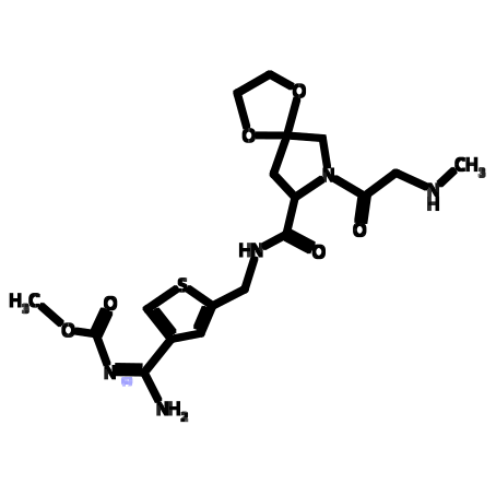 CNCC(=O)N1CC2(CC1C(=O)NCc1cc(/C(N)=N\C(=O)OC)cs1)OCCO2